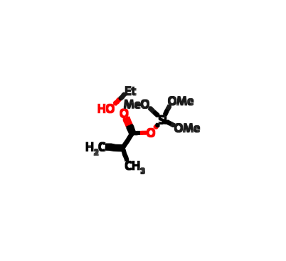 C=C(C)C(=O)O[Si](OC)(OC)OC.CCO